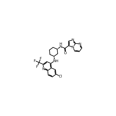 O=C(N[C@@H]1CCC[C@H](Nc2cc(C(F)(F)F)nc3ccc(Cl)cc23)C1)c1cnc2ncccn12